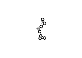 C1=CC2=C(CC1)C1CCCC(c3ccc(Nc4ccc(-c5cc6c7c(cccc7c5)-c5ccccc5-6)cc4)cc3)=C1O2